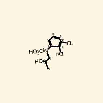 CC(O)CN(C(=O)O)c1cccc(Cl)c1Cl